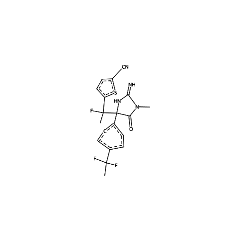 CN1C(=N)NC(c2ccc(C(C)(F)F)cc2)(C(C)(F)c2ccc(C#N)s2)C1=O